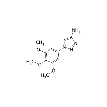 COc1cc(-n2cc(N)nn2)cc(OC)c1OC